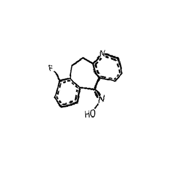 O/N=C1/c2cccnc2CCc2c(F)cccc21